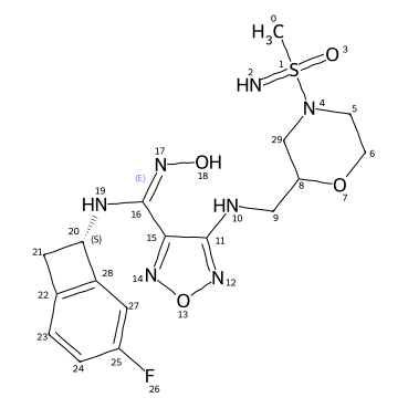 CS(=N)(=O)N1CCOC(CNc2nonc2/C(=N\O)N[C@H]2Cc3ccc(F)cc32)C1